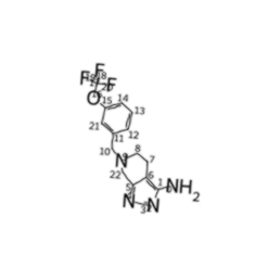 Nc1ncnc2c1CCN(Cc1cccc(OC(F)(F)F)c1)C2